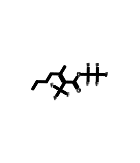 CCCCC(C)=C(C(=O)OC(F)(F)C(F)(F)F)C(F)(F)F